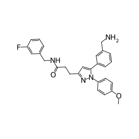 COc1ccc(-n2nc(CCC(=O)NCc3cccc(F)c3)cc2-c2cccc(CN)c2)cc1